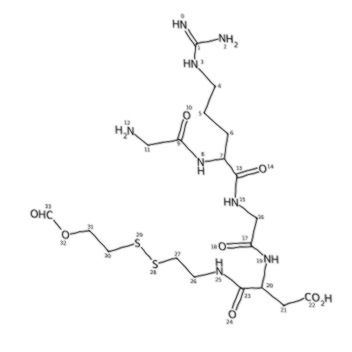 N=C(N)NCCCC(NC(=O)CN)C(=O)NCC(=O)NC(CC(=O)O)C(=O)NCCSSCCOC=O